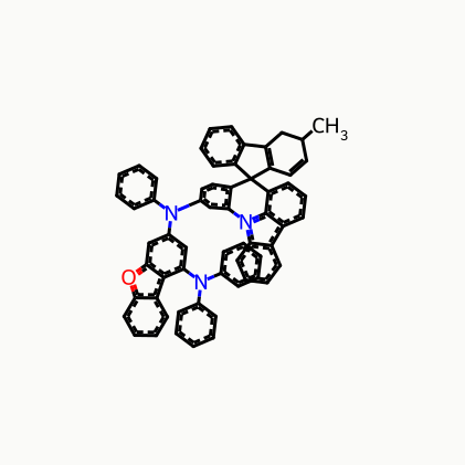 CC1C=CC2=C(C1)c1ccccc1C21c2ccc(N(c3ccccc3)c3cc(N(c4ccccc4)c4ccccc4)c4c(c3)oc3ccccc34)cc2-n2c3ccccc3c3cccc1c32